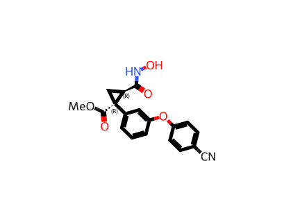 COC(=O)[C@]1(c2cccc(Oc3ccc(C#N)cc3)c2)C[C@H]1C(=O)NO